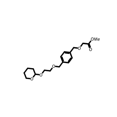 COC(=O)COCc1ccc(COCCOC2CCCCO2)cc1